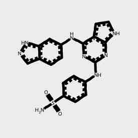 NS(=O)(=O)c1ccc(Nc2nc(Nc3ccc4cn[nH]c4c3)c3cc[nH]c3n2)cc1